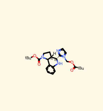 CC(C)(C)OC(=O)N1CC[C@H]2C1c1ccccc1N[C@H]2c1nccn1COC(=O)C(C)(C)C